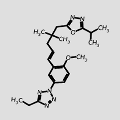 CCc1nnn(-c2ccc(OC)c(/C=C/CC(C)(C)Cc3nnc(C(C)C)o3)c2)n1